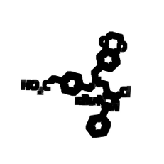 CCCCn1c(-c2ccccc2)nc(Cl)c1CN(Cc1ccc(CC(=O)O)cc1)Cc1ccc2c(c1)OCCO2